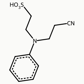 N#CCCN(CCS(=O)(=O)O)c1ccccc1